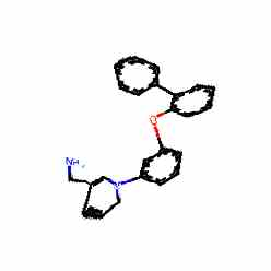 NCC1=CN(c2cccc(Oc3ccccc3-c3ccccc3)c2)CC=C1